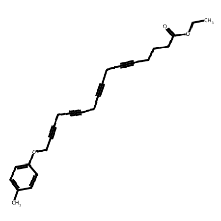 CCOC(=O)CCCC#CCC#CCC#CCC#CCOc1ccc(C)cc1